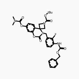 CN(C)C(=O)Oc1ccc2c(c1)OC(=O)N(Cc1cccc(NC(=O)OCc3ccccc3)c1F)C21CN(C(=O)OC(C)(C)C)C1